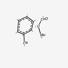 CC(C)(C)OC=O.N#Cc1ccccc1